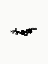 COc1ccc2nn(-c3ccc(OCC(=O)NN)cc3O)nc2c1